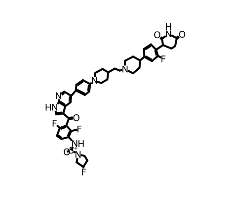 O=C1CCC(c2ccc(C3CCN(CCC4CCN(c5ccc(-c6cnc7[nH]cc(C(=O)c8c(F)ccc(N[S+]([O-])N9CCC(F)C9)c8F)c7c6)cc5)CC4)CC3)cc2F)C(=O)N1